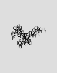 CC(Cl)NC(C)Cl.CC(Cl)NC(C)Cl.Clc1cccc(-c2nc(C(Cl)(Cl)Cl)nc(C(Cl)(Cl)Cl)n2)c1.Fc1cccc(-c2nc(C(Cl)(Cl)Cl)nc(C(Cl)(Cl)Cl)n2)c1